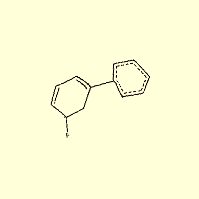 F[C]1C=CC=C(c2ccccc2)C1